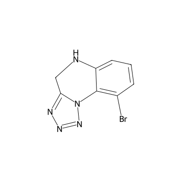 Brc1cccc2c1-n1nnnc1CN2